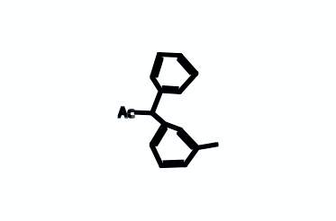 CC(=O)C(c1ccccc1)c1cccc(C)c1